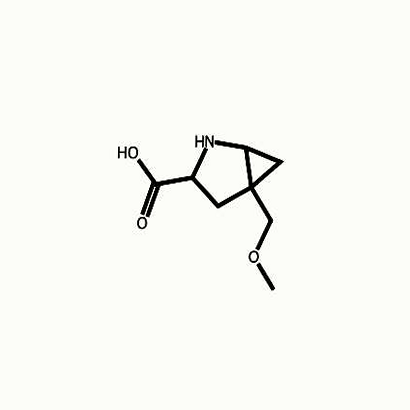 COCC12CC(C(=O)O)NC1C2